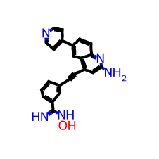 N=C(NO)c1cccc(C#Cc2cc(N)nc3ccc(-c4ccncc4)cc23)c1